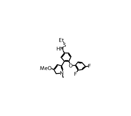 CCSNc1ccc(Oc2ccc(F)cc2F)c(C2=CN(C)CC(OC)=C2)c1